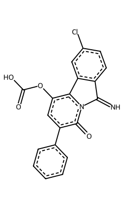 N=C1c2ccc(Cl)cc2-c2c(OC(=O)O)cc(-c3ccccc3)c(=O)n21